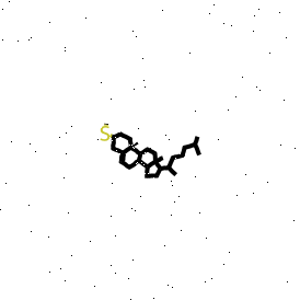 CSC1CC[C@@]2(C)C(=CCC3C4CCC(C(C)CCCC(C)C)C4(C)CCC32)C1